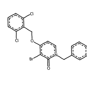 O=c1c(Br)c(OCc2c(Cl)cccc2Cl)ccn1Cc1ccccc1